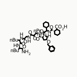 CCCCC(NC(=O)C(CCCC)NC(=O)CNC(=O)C(=O)C(CCC)NC(=O)[C@@H]1C[C@@H](OCc2ccccc2)CN1C(=O)C(NC(=O)[C@H]1CCCCC1C(=O)O)C1CCCCC1)C(N)=O